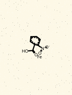 O=C(O)c1ccccc1[N+](=O)[O-].[Fe]